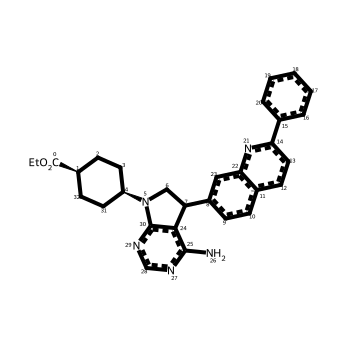 CCOC(=O)[C@H]1CC[C@@H](N2CC(c3ccc4ccc(-c5ccccc5)nc4c3)c3c(N)ncnc32)CC1